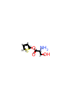 N[C@@H](CO)C(=O)Oc1cccs1